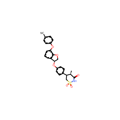 C[C@H]1C(=O)NS(=O)(=O)CC1c1ccc(O[C@@H]2COc3c(Oc4ccc(C#N)cc4)cccc32)cc1